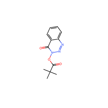 CC(C)(C)C(=O)On1nnc2ccccc2c1=O